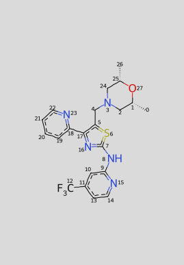 C[C@@H]1CN(Cc2sc(Nc3cc(C(F)(F)F)ccn3)nc2-c2ccccn2)C[C@H](C)O1